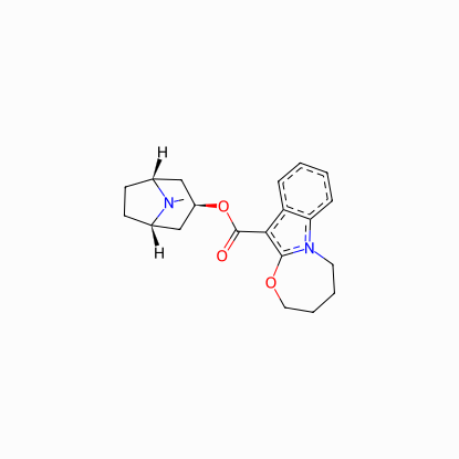 CN1[C@@H]2CC[C@H]1C[C@H](OC(=O)c1c3n(c4ccccc14)CCCCO3)C2